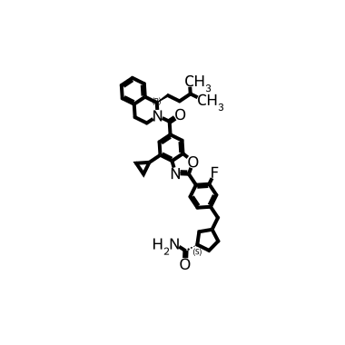 CC(C)CC[C@@H]1c2ccccc2CCN1C(=O)c1cc(C2CC2)c2nc(-c3ccc(CC4CC[C@H](C(N)=O)C4)cc3F)oc2c1